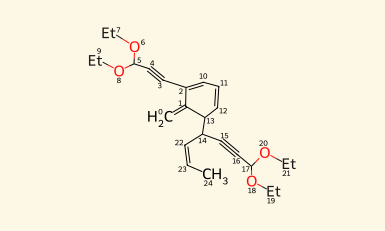 C=C1C(C#CC(OCC)OCC)=CC=CC1C(C#CC(OCC)OCC)/C=C\C